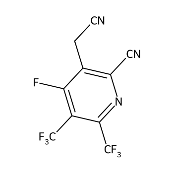 N#CCc1c(C#N)nc(C(F)(F)F)c(C(F)(F)F)c1F